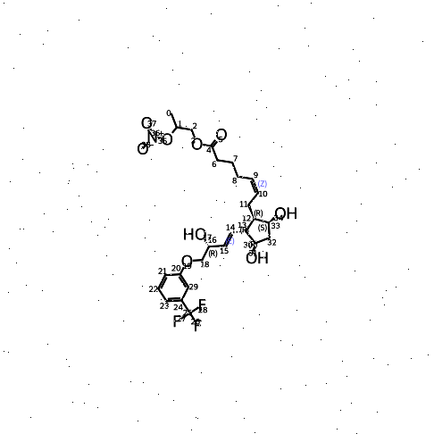 CC(COC(=O)CCC/C=C\C[C@@H]1[C@@H](/C=C/[C@@H](O)COc2cccc(C(F)(F)F)c2)[C@H](O)C[C@@H]1O)O[N+](=O)[O-]